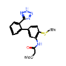 COCC(=O)Nc1cc(-c2ccccc2-c2nn[nH]n2)ccc1SC(C)(C)C